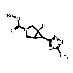 CC(C)(C)OC(=O)N1CC2C(c3nnc(C(F)(F)F)o3)[C@H]2C1